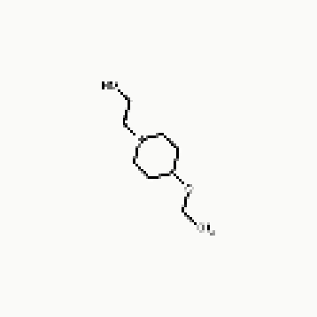 CCOC1CCN(CCO)CC1